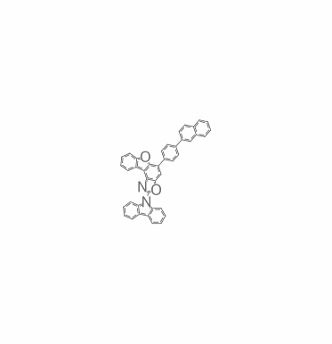 c1ccc2cc(-c3ccc(-c4cc5oc(-n6c7ccccc7c7ccccc76)nc5c5c4oc4ccccc45)cc3)ccc2c1